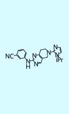 CC(C)n1ccnc1N1CCc2nc(Nc3cccc(C#N)c3)ncc2C1